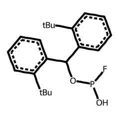 CC(C)(C)c1ccccc1C(OP(O)F)c1ccccc1C(C)(C)C